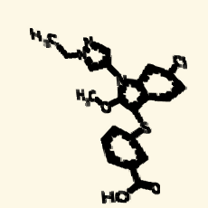 CCn1cc(-n2c(OC)c(Sc3cccc(C(=O)O)c3)c3ccc(Cl)cc32)cn1